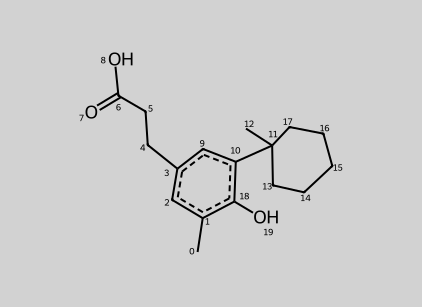 Cc1cc(CCC(=O)O)cc(C2(C)CCCCC2)c1O